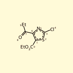 CCOC(=O)c1sc(Cl)nc1C(=O)CC